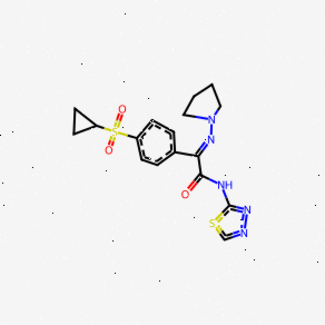 O=C(Nc1nncs1)/C(=N/N1CCCC1)c1ccc(S(=O)(=O)C2CC2)cc1